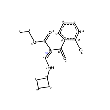 CCOC(=O)/C(=C/NC1CCC1)C(=O)c1cccnc1Cl